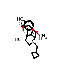 CO[C@@]12CCC(=O)C[C@@]13CCN(CC1CCC1)[C@@H]2Cc1ccc(O)cc13.Cl